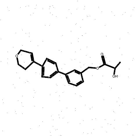 CC(O)C(=O)OCc1cccc(-c2ccc(C3=CCOCC3)cc2)c1